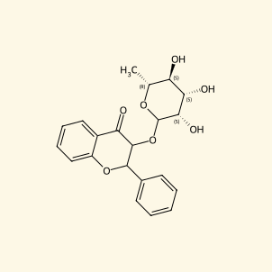 C[C@H]1OC(OC2C(=O)c3ccccc3OC2c2ccccc2)[C@@H](O)[C@@H](O)[C@@H]1O